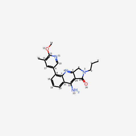 CCCN1Cc2nc3c(-c4cnc(OC)c(C)c4)cccc3c(N)c2C1=O